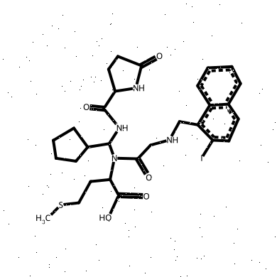 CSCCC(C(=O)O)N(C(=O)CNCc1c(I)ccc2ccccc12)C(NC(=O)C1CCC(=O)N1)C1CCCC1